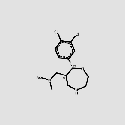 CC(=O)N(C)C[C@@H]1CNCCO[C@H]1c1ccc(Cl)c(Cl)c1